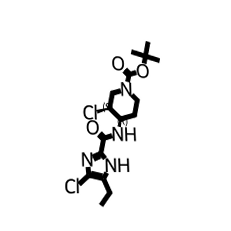 CCc1[nH]c(C(=O)N[C@@H]2CCN(C(=O)OC(C)(C)C)C[C@@H]2Cl)nc1Cl